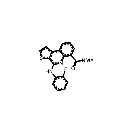 CNC(=O)c1cccc2c1nc(Nc1ccccc1F)c1sccc12